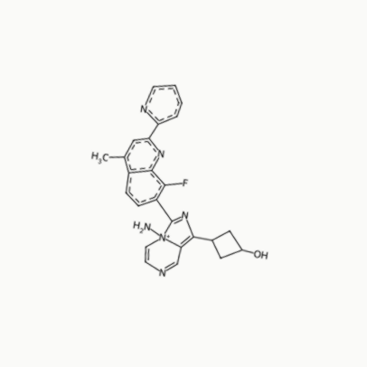 Cc1cc(-c2ccccn2)nc2c(F)c(C3=NC(C4CC(O)C4)=C4C=NC=C[N+]34N)ccc12